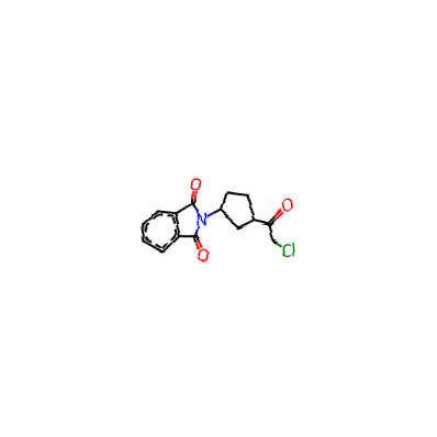 O=C(CCl)C1CCC(N2C(=O)c3ccccc3C2=O)C1